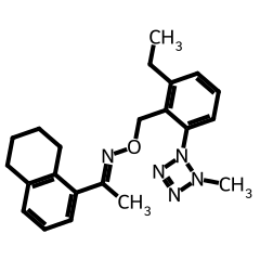 CCc1cccc(-n2nnn2C)c1CON=C(C)c1cccc2c1CCCC2